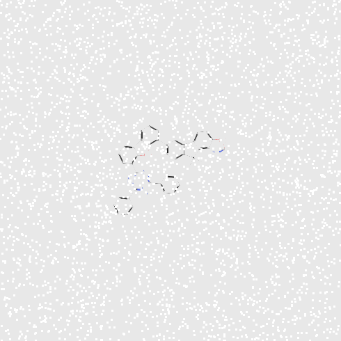 CC1(C)c2ccc(-c3cccc4c3oc3c(-c5nc(-c6ccccc6)nc(-c6ccccc6)n5)cccc34)cc2-c2ccc3ocnc3c21